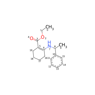 CCOC(=O)C1=C(NC(C)c2ccccc2)CCCC1